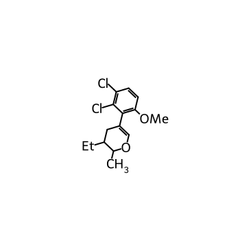 CCC1CC(c2c(OC)ccc(Cl)c2Cl)=COC1C